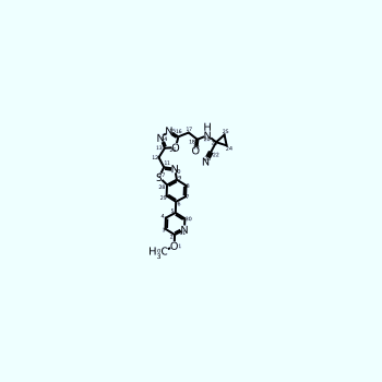 COc1ccc(-c2ccc3nc(Cc4nnc(CC(=O)NC5(C#N)CC5)o4)sc3c2)cn1